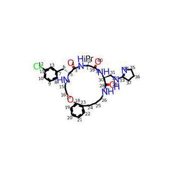 CC(C)[C@H]1NC(=O)[C@@H](Cc2cccc(Cl)c2)NCCOc2ccccc2CCCNC(=O)[C@H](CNC2=NCCC2)NC1=O